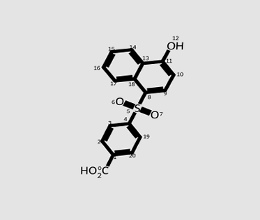 O=C(O)c1ccc(S(=O)(=O)c2ccc(O)c3ccccc23)cc1